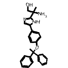 CC(N)(CO)c1ncc(-c2ccc(OC(C)(c3ccccc3)c3ccccc3)cc2)[nH]1